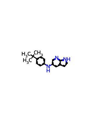 CC(C)(C)c1ccc(Nc2cnc3[nH]ccc3c2)cc1